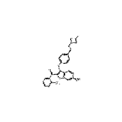 CC1CN(CCc2ccc(Oc3c(C(=O)c4ccccc4C(F)(F)F)sc4cc(O)ccc34)cc2)C1